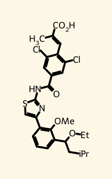 CCOC(CC(C)C)c1cccc(-c2csc(NC(=O)c3cc(Cl)c(C=C(C)C(=O)O)c(Cl)c3)n2)c1OC